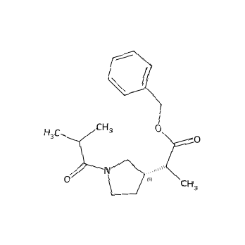 CC(C)C(=O)N1CC[C@@H](C(C)C(=O)OCc2ccccc2)C1